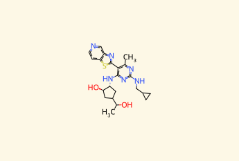 Cc1nc(NCC2CC2)nc(N[C@@H]2CC(C(C)O)C[C@H]2O)c1-c1nc2cnccc2s1